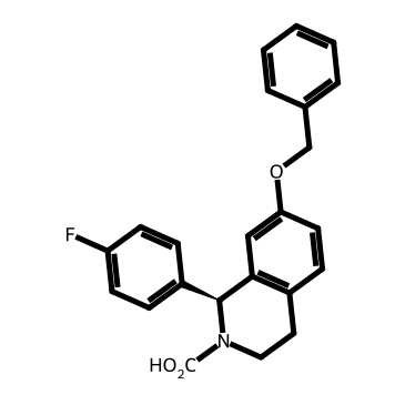 O=C(O)N1CCc2ccc(OCc3ccccc3)cc2[C@@H]1c1ccc(F)cc1